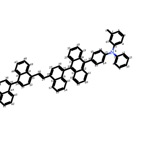 Cc1cccc(N(c2ccccc2)c2ccc(-c3c4ccccc4c(-c4ccc(/C=C/c5ccc(-c6cccc7ccccc67)c6ccccc56)c5ccccc45)c4ccccc34)cc2)c1